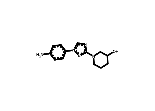 Nc1ccc(-n2cnc(N3CCCC(O)C3)n2)cc1